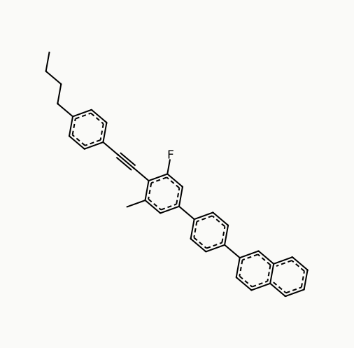 CCCCc1ccc(C#Cc2c(C)cc(-c3ccc(-c4ccc5ccccc5c4)cc3)cc2F)cc1